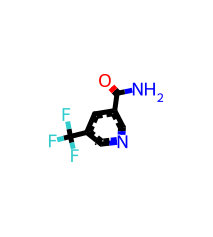 NC(=O)c1cn[c]c(C(F)(F)F)c1